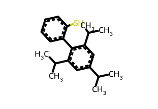 CC(C)c1cc(C(C)C)c(-c2ccccc2S)c(C(C)C)c1